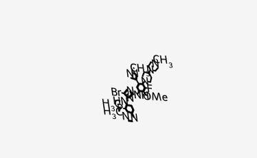 COc1c(Nc2ncc(Br)c(Nc3ccc4nccnc4c3P(C)C)n2)cc(-c2cnn(C)c2)c(N2CCC(N3CCN(C)CC3)CC2)c1F